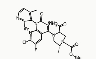 COC(=O)[C@H]1CN(C(=O)OC(C)(C)C)[C@H](C)CN1c1c(N)c(=O)n(-c2c(C)ccnc2C(C)C)c2nc(Cl)c(F)cc12